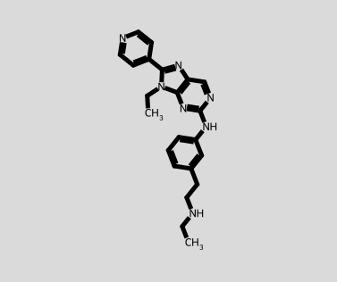 CCNCCc1cccc(Nc2ncc3nc(-c4ccncc4)n(CC)c3n2)c1